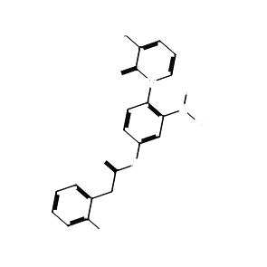 N[S+]([O-])c1cc(NC(=O)Cc2ccccc2Cl)ccc1-n1cccc(Cl)c1=O